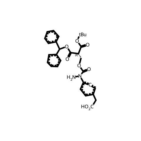 CC(C)(C)OC(=O)[C@H](COC(=O)N(N)c1ccc(CC(=O)O)cc1)C(=O)OC(c1ccccc1)c1ccccc1